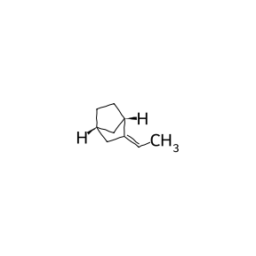 C/C=C1/C[C@@H]2CC[C@H]1C2